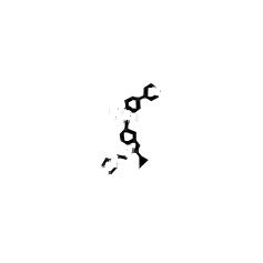 Nc1ccc(-c2ccncc2)cc1NC(=O)c1ccc2c(c1)cc(C1CC1)n2CCN1CCOCC1